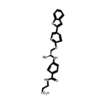 CC[C@H](C)[C@@H](COc1ccc(-c2cc3ccccc3o2)cn1)Nc1ccc(C(=O)NCCC(=O)O)cc1